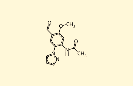 COc1cc(NC(C)=O)c(-n2cccn2)cc1C=O